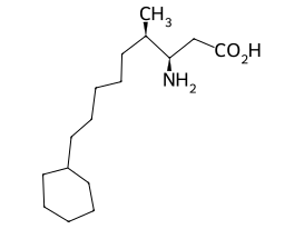 C[C@H](CCCCCC1CCCCC1)[C@H](N)CC(=O)O